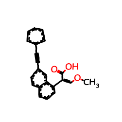 COC=C(C(=O)O)c1cccc2ccc(C#Cc3ccccc3)cc12